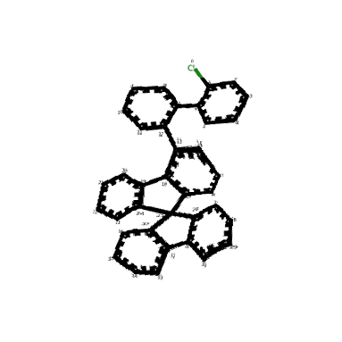 Clc1ccccc1-c1ccccc1-c1cccc2c1-c1ccccc1C21c2ccccc2-c2ccccc21